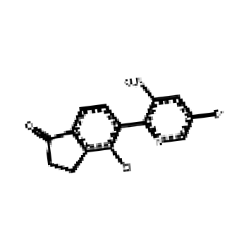 O=C1CCc2c1ccc(-c1ncc(Br)cc1[N+](=O)[O-])c2Cl